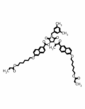 C=CC(=O)OCCCCCCOc1ccc2cc(C(=O)O[C@H]3C(=O)N(Cc4cc(C)cc(C)c4)C(=O)[C@@H]3C(=C)C(=O)c3ccc4cc(OCCCCCCOC(=O)C=C)ccc4c3)ccc2c1